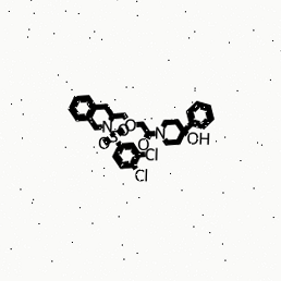 O=C(COCC1Cc2ccccc2CN1S(=O)(=O)c1ccc(Cl)c(Cl)c1)N1CCC(O)(c2ccccc2)CC1